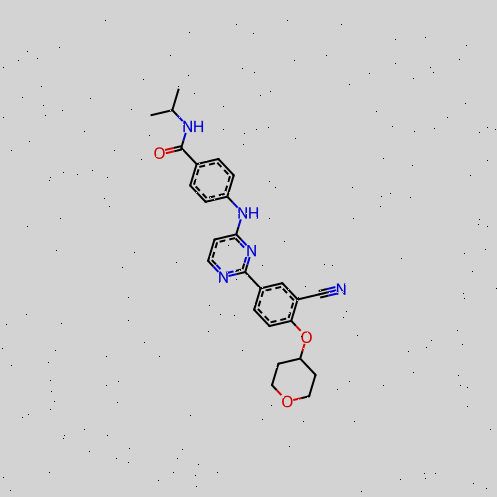 CC(C)NC(=O)c1ccc(Nc2ccnc(-c3ccc(OC4CCOCC4)c(C#N)c3)n2)cc1